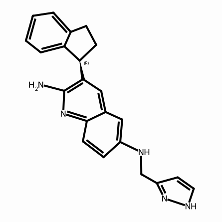 Nc1nc2ccc(NCc3cc[nH]n3)cc2cc1[C@@H]1CCc2ccccc21